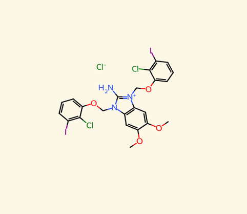 COc1cc2c(cc1OC)[n+](COc1cccc(I)c1Cl)c(N)n2COc1cccc(I)c1Cl.[Cl-]